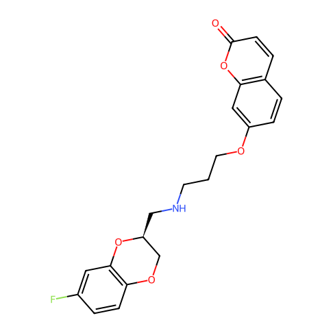 O=c1ccc2ccc(OCCCNC[C@H]3COc4ccc(F)cc4O3)cc2o1